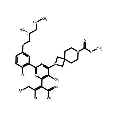 CC/C(O)=C(/C(C)=N)c1nc(-c2cc(OC[C@H](O)CNC)ccc2Cl)nc(N2CC3(CCN(C(=O)OC)CC3)C2)c1C